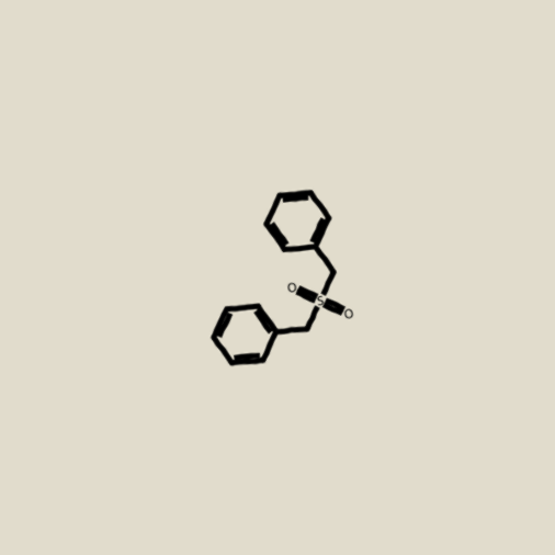 O=S(=O)(Cc1ccccc1)Cc1ccccc1